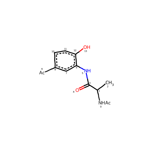 CC(=O)NC(C)C(=O)Nc1cc(C(C)=O)ccc1O